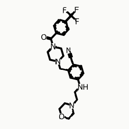 N#Cc1ccc(NCCN2CCOCC2)cc1CN1CCN(C(=O)c2ccc(C(F)(F)F)cc2)CC1